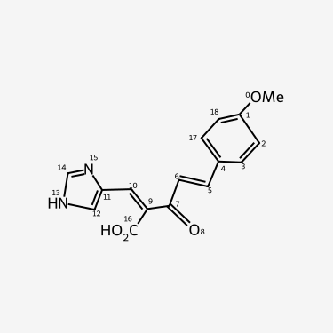 COc1ccc(C=CC(=O)C(=Cc2c[nH]cn2)C(=O)O)cc1